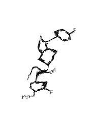 NCc1ccc(C(O)(CF)c2ccc3c(cnn3-c3ccc(F)cc3)c2)cc1F